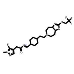 Cn1ncc(CC(=O)/N=C/C2CCC(CCN3CCC4N=C(OCC(F)(F)F)SC4CC3)CC2)c1F